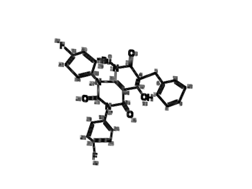 CCCCn1c(=O)c(Cc2ccccc2)c(O)c2c(=O)n(-c3ccc(F)cc3)c(=O)n(-c3ccc(F)cc3)c21